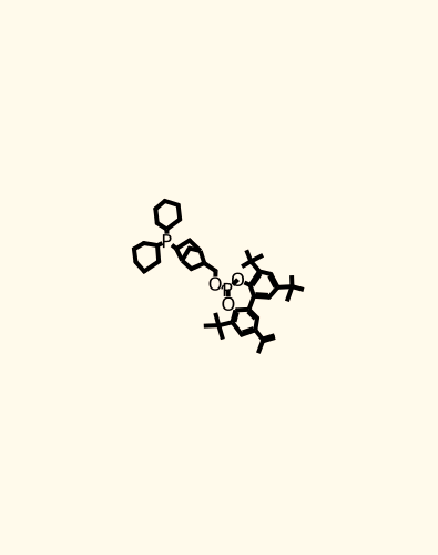 C=C(C)c1cc(C(C)(C)C)c2op(OCC3CC4CC3CC4P(C3CCCCC3)C3CCCCC3)oc3c(C(C)(C)C)cc(C(C)(C)C)cc3c2c1